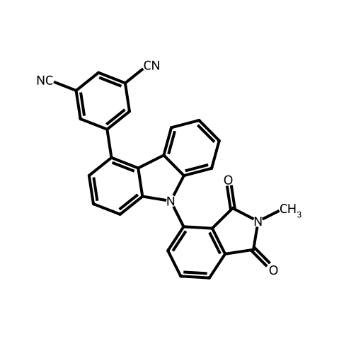 CN1C(=O)c2cccc(-n3c4ccccc4c4c(-c5cc(C#N)cc(C#N)c5)cccc43)c2C1=O